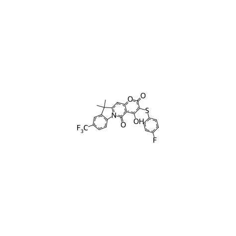 CC1(C)c2cc(C(F)(F)F)ccc2-n2c1cc1oc(=O)c(Sc3ccc(F)cc3)c(O)c1c2=O